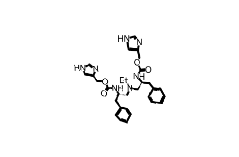 CCN(C[C@H](Cc1ccccc1)NC(=O)OCc1c[nH]cn1)C[C@H](Cc1ccccc1)NC(=O)OCc1c[nH]cn1